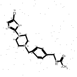 CC(=O)NCc1ccc(CN2CCN(c3ncc(Cl)s3)CC2)cc1